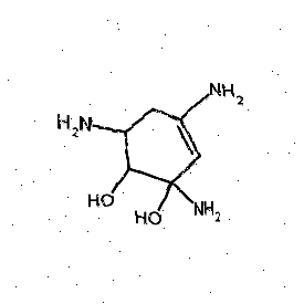 NC1=CC(N)(O)C(O)C(N)C1